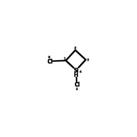 ClC1CC[SiH]1Cl